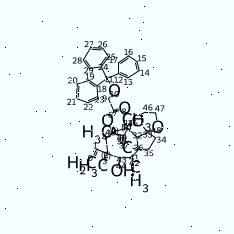 C=C[C@@]1(C)C[C@@H](OC(=O)COC(c2ccccc2)(c2ccccc2)c2ccccc2)[C@@]2(C)C3C4(CCC3(CC[C@H]2C)C(C)C1O)OCCO4